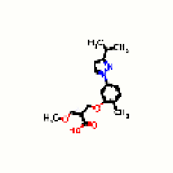 CO/C=C(/COc1cc(-n2ccc(C(C)C)n2)ccc1C)C(=O)O